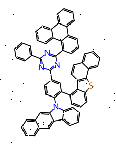 c1ccc(-c2nc(-c3ccc(-n4c5ccccc5c5cc6ccccc6cc54)c(-c4cccc5sc6c7ccccc7ccc6c45)c3)nc(-c3cccc4c5ccccc5c5ccccc5c34)n2)cc1